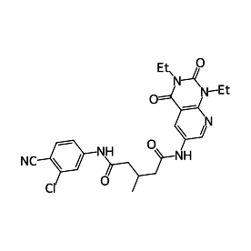 CCn1c(=O)c2cc(NC(=O)CC(C)CC(=O)Nc3ccc(C#N)c(Cl)c3)cnc2n(CC)c1=O